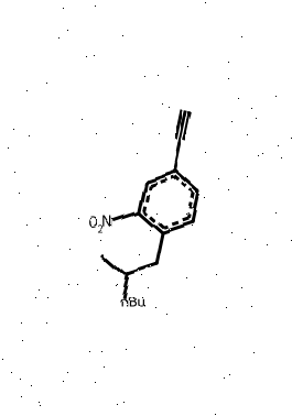 C#Cc1ccc(CC(C)CCCC)c([N+](=O)[O-])c1